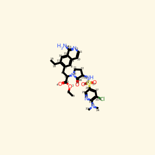 CCOC(=O)C(Cc1cc2ccnc(N)c2cc1CC)N1CCC(NS(=O)(=O)c2cnc(N(C)C)c(Cl)c2)C1=O